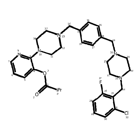 CC(C)C(=O)Oc1cccnc1N1CCN(Cc2ccc(CN3CCN(Cc4c(F)cccc4Cl)CC3)cc2)CC1